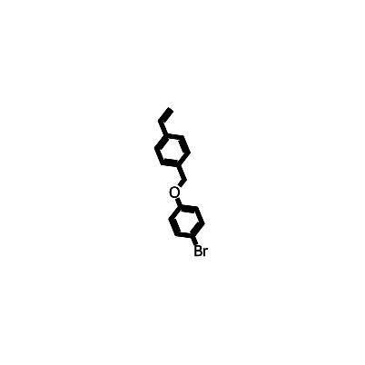 C=Cc1ccc(COc2ccc(Br)cc2)cc1